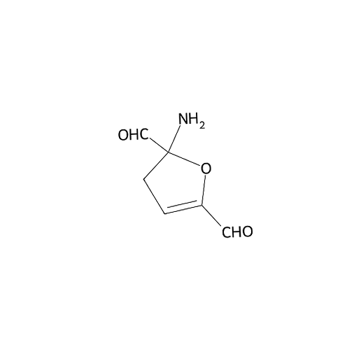 NC1(C=O)CC=C(C=O)O1